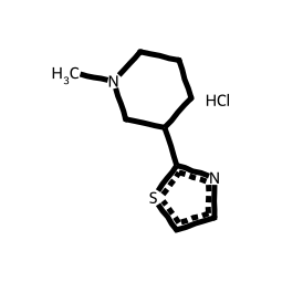 CN1CCCC(c2nccs2)C1.Cl